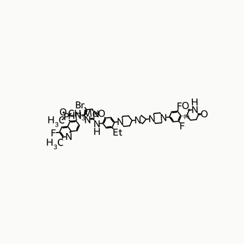 CCc1cc(Nc2ncc(Br)c(Nc3ccc4nc(C)c(F)cc4c3P(C)(C)=O)n2)c(OC)cc1N1CCC(N2CC(N3CCN(c4cc(F)c([C@H]5CCC(=O)NC5=O)c(F)c4)CC3)C2)CC1